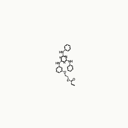 C=CC(=O)OCCOc1cccc(Nc2nc(Nc3ccccc3)nc(Nc3ccccc3)n2)c1